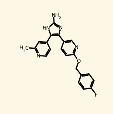 Cc1cc(-c2[nH]c(N)nc2-c2ccc(OCc3ccc(F)cc3)nc2)ccn1